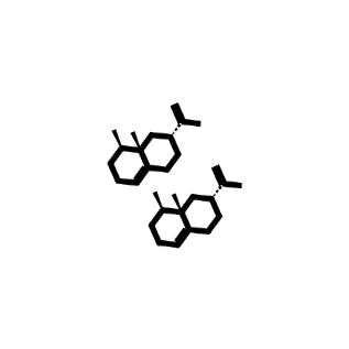 C=C(C)[C@@H]1CCC2=CCC[C@@H](C)[C@]2(C)C1.C=C(C)[C@@H]1CCC2=CCC[C@@H](C)[C@]2(C)C1